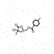 Cc1ccc(C(=O)OC[C@H]2[CH][C@](F)(Cl)C(=O)O2)cc1